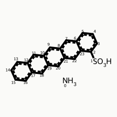 N.O=S(=O)(O)c1cccc2cc3cc4cc5ccccc5cc4cc3cc12